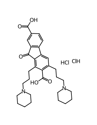 Cl.Cl.O=C(O)c1ccc2c(c1)C(=O)c1c-2cc(CCCN2CCCCC2)c(C(=O)O)c1CCCN1CCCCC1